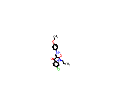 CCCNC(=O)C(=CNc1ccc(OCC)cc1)C(=O)c1ccc(Cl)cc1